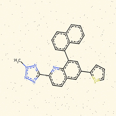 Cn1nnc(-c2ccc3cc(-c4cccs4)cc(-c4cccc5ccccc45)c3n2)n1